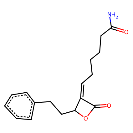 NC(=O)CCCCC=C1C(=O)OC1CCc1ccccc1